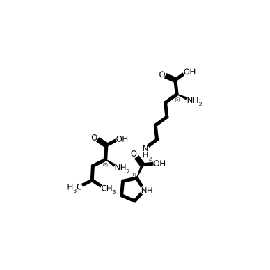 CC(C)C[C@H](N)C(=O)O.NCCCC[C@H](N)C(=O)O.O=C(O)[C@@H]1CCCN1